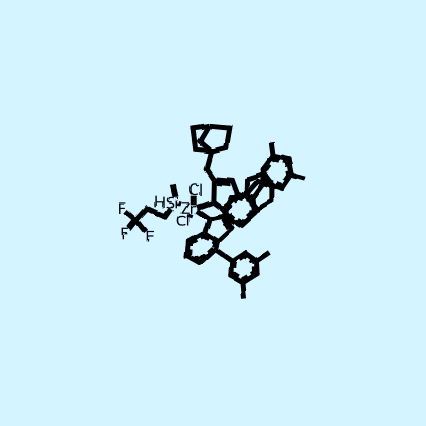 Cc1cc(C)cc(-c2cccc3c2C=C(CC24CCC(CC2)C4)[CH]3[Zr]([Cl])([Cl])([CH]2C(CC34CCC(CC3)C4)=Cc3c(-c4cc(C)cc(C)c4)cccc32)[SiH](C)CCC(F)(F)F)c1